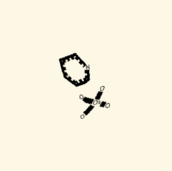 [O]=[Os](=[O])(=[O])=[O].c1ccncc1